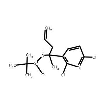 C=CCC(C)(N[S+]([O-])C(C)(C)C)c1ccc(Cl)nc1Cl